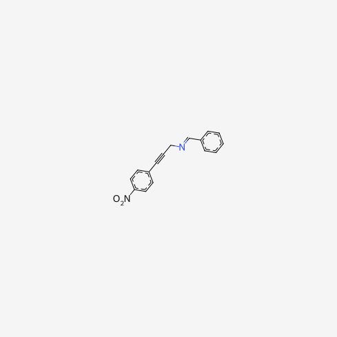 O=[N+]([O-])c1ccc(C#CCN=Cc2ccccc2)cc1